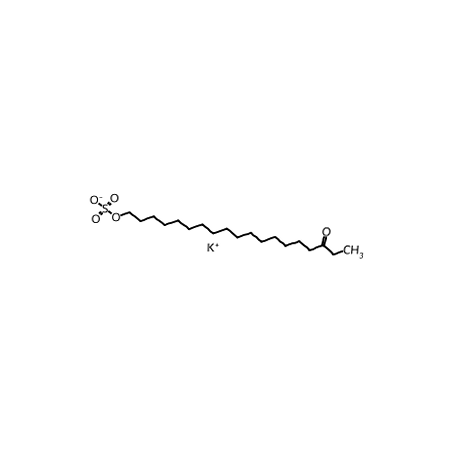 CCC(=O)CCCCCCCCCCCCCCCCOS(=O)(=O)[O-].[K+]